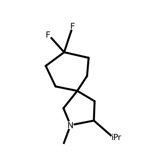 CC(C)C1CC2(CCC(F)(F)CC2)CN1C